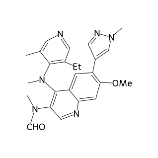 CCc1cncc(C)c1N(C)c1c(N(C)C=O)cnc2cc(OC)c(-c3cnn(C)c3)cc12